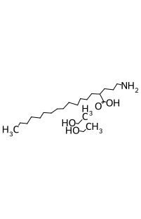 CCCCCCCCCCCCCCC(CCCN)C(=O)O.CCO.CCO